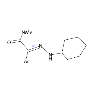 CNC(=O)/C(=N/NC1CCCCC1)C(C)=O